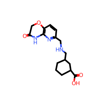 O=C1COc2ccc(CNCC3CCCC(C(=O)O)C3)nc2N1